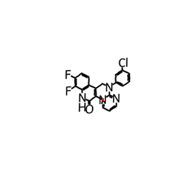 CCc1c(CN(c2cccc(Cl)c2)c2ncccn2)c2ccc(F)c(F)c2[nH]c1=O